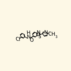 Cc1ccc(-c2nc3ccc(C(=O)NCc4cccc(Cl)c4)cc3s2)cn1